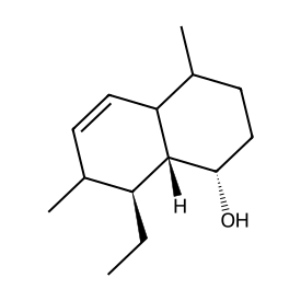 CC[C@H]1C(C)C=CC2C(C)CC[C@H](O)[C@@H]21